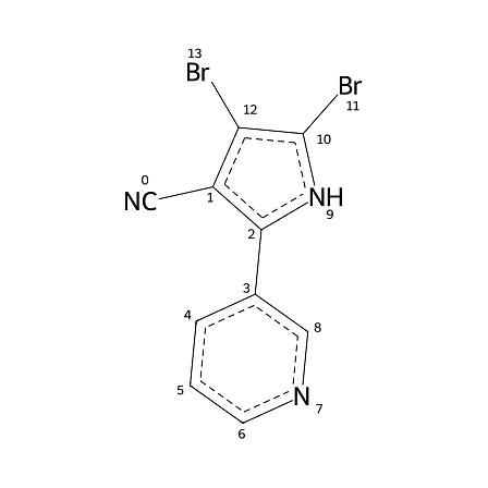 N#Cc1c(-c2cccnc2)[nH]c(Br)c1Br